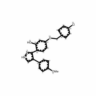 COc1ccc(-c2c[nH]nc2-c2ccc(OCc3ccc(Cl)cc3)cc2O)cc1